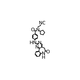 [C-]#[N+]CCN(C(=O)c1ccc(Nc2ncc3c(n2)-c2ccccc2NC(=O)C3)cc1)C1CCCC1